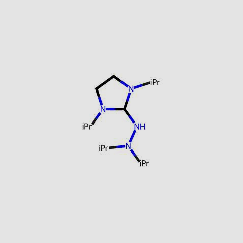 CC(C)N1CCN(C(C)C)C1NN(C(C)C)C(C)C